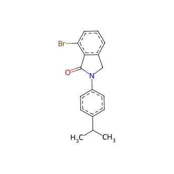 CC(C)c1ccc(N2Cc3cccc(Br)c3C2=O)cc1